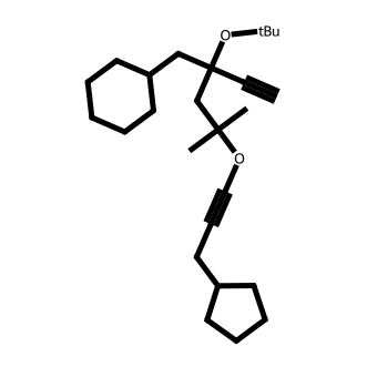 C#CC(CC1CCCCC1)(CC(C)(C)OC#CCC1CCCC1)OC(C)(C)C